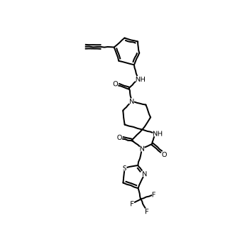 C#Cc1cccc(NC(=O)N2CCC3(CC2)NC(=O)N(c2nc(C(F)(F)F)cs2)C3=O)c1